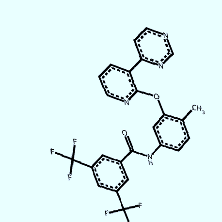 Cc1ccc(NC(=O)c2cc(C(F)(F)F)cc(C(F)(F)F)c2)cc1Oc1ncccc1-c1ccncn1